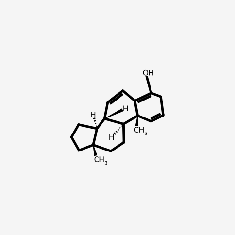 C[C@@]12CCC[C@H]1[C@@H]1C=CC3=C(O)CC=C[C@]3(C)[C@H]1CC2